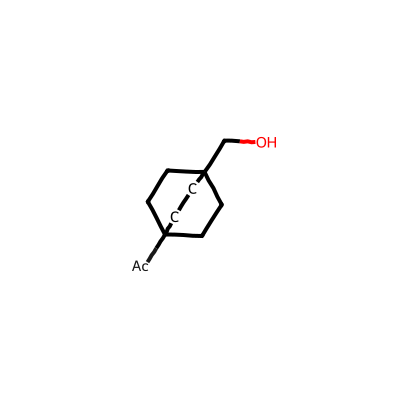 CC(=O)C12CCC(CO)(CC1)CC2